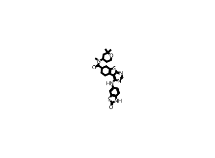 CN(C(=O)C1CCc2c(sc3ncnc(Nc4ccc5[nH]c(=O)sc5c4)c23)C1)C1CCOC(C)(C)C1